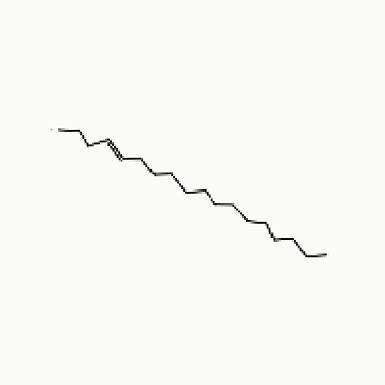 [CH2]CCC=CCCCCCCCCCCCCC